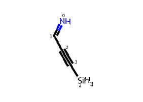 N=CC#C[SiH3]